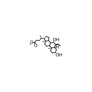 C/C=C1/[C@@H](O)C2C3CC[C@H]([C@H](C)CCC(=O)OC)[C@@]3(C)CCC2[C@@]2(C)CC[C@@H](O)C[C@@H]12